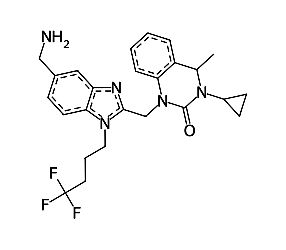 CC1c2ccccc2N(Cc2nc3cc(CN)ccc3n2CCCC(F)(F)F)C(=O)N1C1CC1